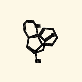 N#CN1C2=CCCC=C2C23C=CC=CNC2C(=O)CC=C13